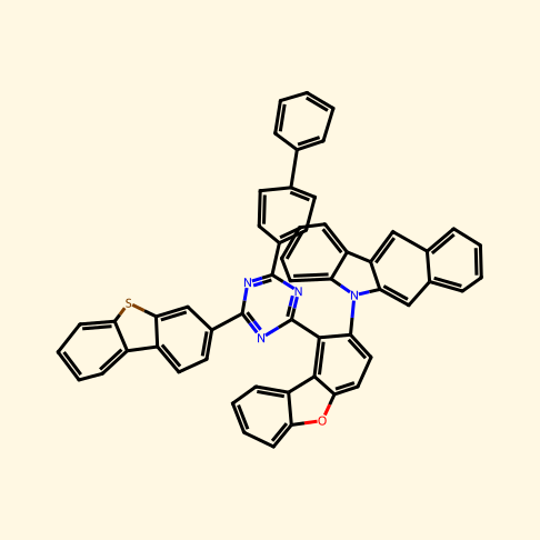 c1ccc(-c2ccc(-c3nc(-c4ccc5c(c4)sc4ccccc45)nc(-c4c(-n5c6ccccc6c6cc7ccccc7cc65)ccc5oc6ccccc6c45)n3)cc2)cc1